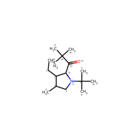 CCC1C(C)CN(C(C)(C)C)C1C(=O)C(C)(C)C